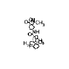 Cc1noc(=O)c2ccc(NC(=O)C(=O)CC(C)(C)c3c(F)cccc3Cl)cc12